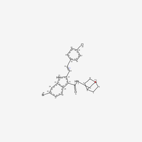 O=C(NC1CN2CCC1CC2)c1c(/C=C/c2ccc(Cl)cc2)[nH]c2cc(Br)ccc12